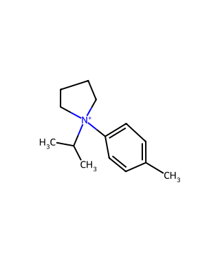 Cc1ccc([N+]2(C(C)C)CCCC2)cc1